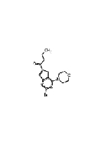 CCCC(=O)C1=Cc2nc(Br)nc(N3CCOCC3)c2C1